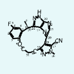 C[C@@H]1c2cc(F)ccc2OCCCc2nn(C)c(C#N)c2-c2cnc3[nH]nc1c3n2